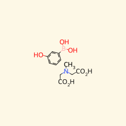 CN(CC(=O)O)CC(=O)O.OB(O)c1cccc(O)c1